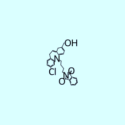 O=C1c2ccccc2C(=O)N1CCCCN1C2=CC=C(CO)CC2=CCc2ccc(Cl)cc21